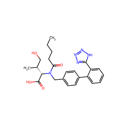 CCCCC(=O)N(Cc1ccc(-c2ccccc2-c2nnn[nH]2)cc1)[C@H](C(=O)O)C(C)CO